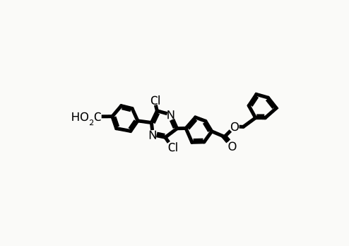 O=C(O)c1ccc(-c2nc(Cl)c(-c3ccc(C(=O)OCc4ccccc4)cc3)nc2Cl)cc1